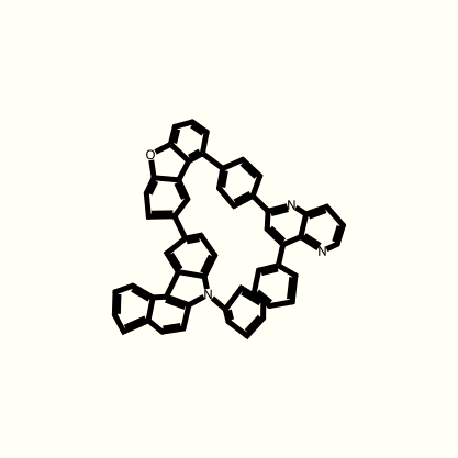 c1ccc(-c2cc(-c3ccc(-c4cccc5oc6ccc(-c7ccc8c(c7)c7c9ccccc9ccc7n8-c7ccccc7)cc6c45)cc3)nc3cccnc23)cc1